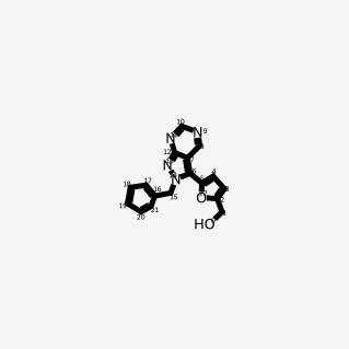 OCc1ccc(-c2c3cncnc3nn2Cc2ccccc2)o1